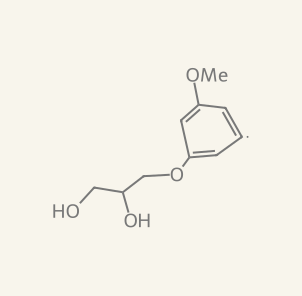 COc1c[c]cc(OCC(O)CO)c1